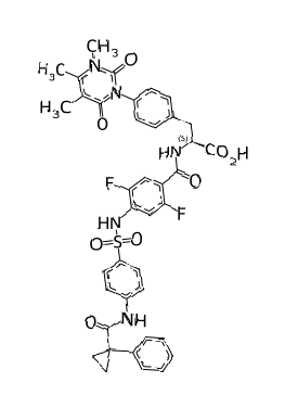 Cc1c(C)n(C)c(=O)n(-c2ccc(C[C@H](NC(=O)c3cc(F)c(NS(=O)(=O)c4ccc(NC(=O)C5(c6ccccc6)CC5)cc4)cc3F)C(=O)O)cc2)c1=O